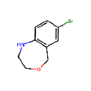 Brc1ccc2c(c1)COCCN2